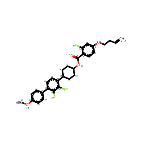 C=CCCOc1ccc(C(=O)OC2CCC(c3ccc(-c4ccc(OCCCC)cc4)c(F)c3F)CC2)c(F)c1